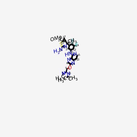 C/N=C(/COc1cnc2c(Nc3cc(F)c(F)c([C@@]4(C)N=C(N)S[C@@]5(COC)CC54)c3)nccc2n1)N=C(C)C